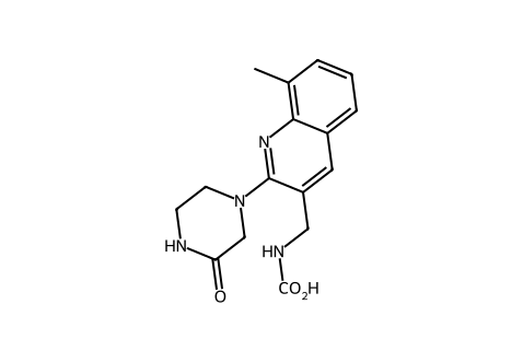 Cc1cccc2cc(CNC(=O)O)c(N3CCNC(=O)C3)nc12